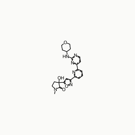 CN1CCC(O)(c2cc(-c3cccc(-c4ccnc(NC5CCOCC5)n4)n3)no2)C1=O